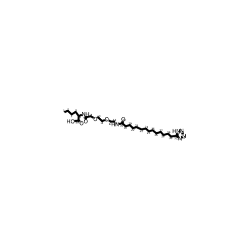 CCCCC(NC(=O)COCCOCCNC(=O)CCCCCCCCCCCCCc1nnn[nH]1)C(=O)O